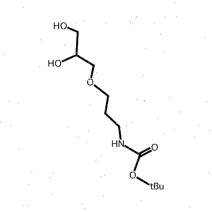 CC(C)(C)OC(=O)NCCCOCC(O)CO